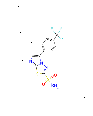 NS(=O)(=O)c1nn2c(-c3ccc(C(F)(F)F)cc3)cnc2s1